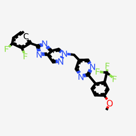 COc1ccc(-c2ncc(Cn3cc4nc(-c5cccc(F)c5F)nc-4cn3)cn2)c(C(F)(F)F)c1